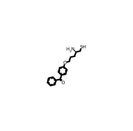 N[C@@H](CS)CCCOc1ccc(C(=O)c2ccccc2)cc1